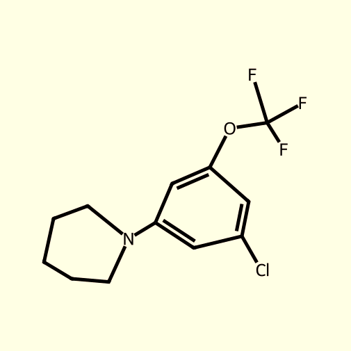 FC(F)(F)Oc1cc(Cl)cc(N2CCCCC2)c1